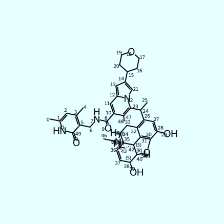 Cc1cc(C)c(CNC(=O)c2cc3cc(C4CCOCC4)cn3c(C(C)c3cc(O)c4c5c3C[C@@H]3[C@@H]6C=C[C@H](O)[C@H](O4)[C@]56CCN3C)c2C)c(=O)[nH]1